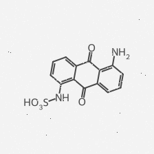 Nc1cccc2c1C(=O)c1cccc(NS(=O)(=O)O)c1C2=O